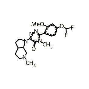 COc1cc(OC(F)F)ccc1-c1nnc(N2CCC3CCN(C)CC32)c(=O)n1C